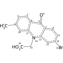 Cc1ccc2c(=O)c3ccc(Br)cc3n(CC(=O)O)c2c1